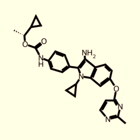 Cc1nccc(Oc2ccc3c(N)c(-c4ccc(NC(=O)O[C@H](C)C5CC5)cc4)n(C4CC4)c3c2)n1